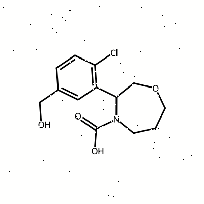 O=C(O)N1CCCOCC1c1cc(CO)ccc1Cl